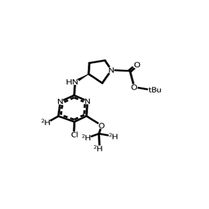 [2H]c1nc(N[C@H]2CCN(C(=O)OC(C)(C)C)C2)nc(OC([2H])([2H])[2H])c1Cl